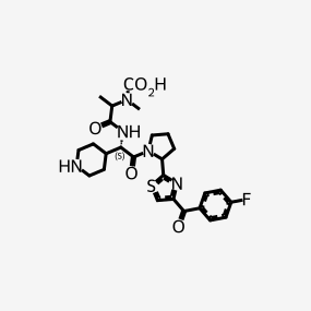 CC(C(=O)N[C@H](C(=O)N1CCCC1c1nc(C(=O)c2ccc(F)cc2)cs1)C1CCNCC1)N(C)C(=O)O